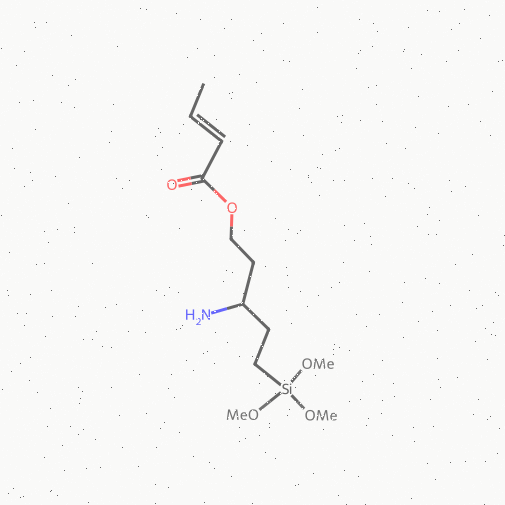 CC=CC(=O)OCCC(N)CC[Si](OC)(OC)OC